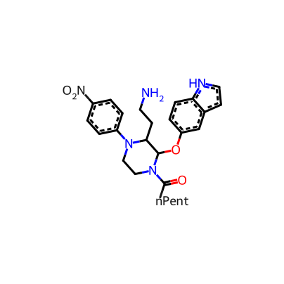 CCCCCC(=O)N1CCN(c2ccc([N+](=O)[O-])cc2)C(CCN)C1Oc1ccc2[nH]ccc2c1